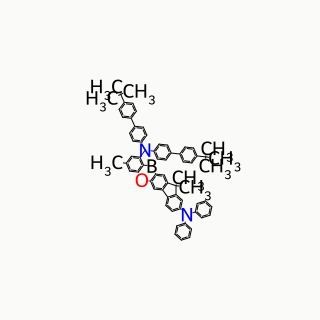 Cc1cc2c3c(c1)N(c1ccc(-c4ccc(C(C)(C)C)cc4)cc1)c1ccc(-c4ccc(C(C)(C)C)cc4)cc1B3c1cc3c(cc1O2)-c1ccc(N(c2ccccc2)c2ccccc2)cc1C3(C)C